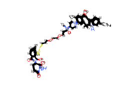 CCc1cc2c(cc1N1CCC(N(C)C(=O)CCOCCOCCCSc3cccc4c3C(=O)N(C3CCC(=O)NC3=O)C4=O)CC1)C(C)(C)c1[nH]c3cc(C#N)ccc3c1C2=O